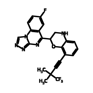 CC(C)(C#Cc1cccc2c1OC(c1nc3nncn3c3ccc(F)cc13)CN2)C(F)(F)F